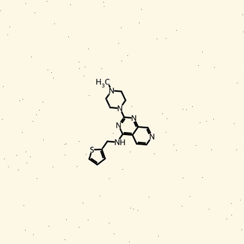 CN1CCN(c2nc(NCc3cccs3)c3ccncc3n2)CC1